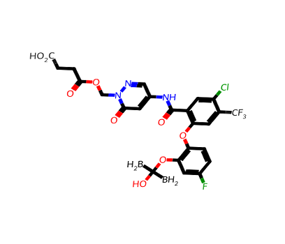 BC(B)(O)Oc1cc(F)ccc1Oc1cc(C(F)(F)F)c(Cl)cc1C(=O)Nc1cnn(COC(=O)CCC(=O)O)c(=O)c1